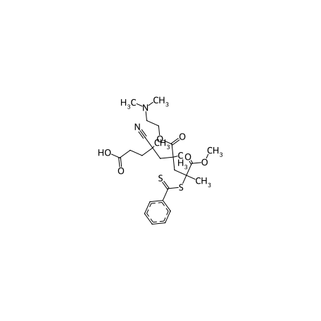 COC(=O)C(C)(CC(C)(CC(C)(C#N)CCC(=O)O)C(=O)OCCN(C)C)SC(=S)c1ccccc1